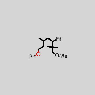 CCC(CC(C)CCOC(C)C)C(C)(C)COC